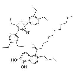 CCC1=C(c2ccc(CC)c(CC)c2)[N+](=[N-])C(c2ccc(CC)c(CC)c2)=C1.CCCCCCCCCCCC(=O)c1c(CCCC)ccc2c(O)c(O)ccc12